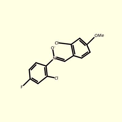 COc1ccc(C=[N+]([O-])c2ccc(F)cc2Cl)c(Cl)c1